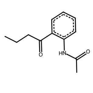 CCCC(=O)c1ccccc1NC(C)=O